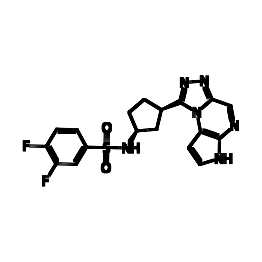 O=S(=O)(N[C@H]1CC[C@@H](c2nnc3cnc4[nH]ccc4n23)C1)c1ccc(F)c(F)c1